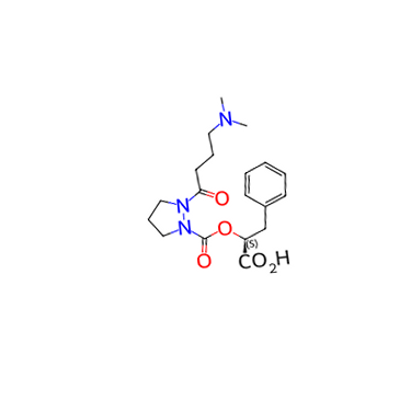 CN(C)CCCC(=O)N1CCCN1C(=O)O[C@@H](Cc1ccccc1)C(=O)O